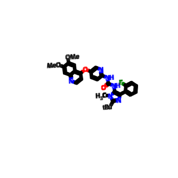 COc1cc2nccc(Oc3ccc(NC(=O)Nc4c(-c5ccccc5F)nc(C(C)(C)C)n4C)nc3)c2cc1OC